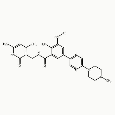 CCNc1cc(-c2cnc(N3CCN(C)CC3)cn2)cc(C(=O)NCc2c(C)cc(C)[nH]c2=O)c1C